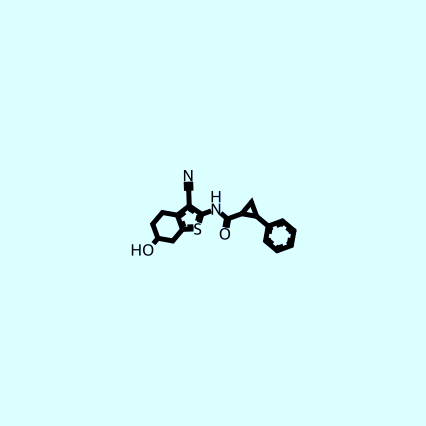 N#Cc1c(NC(=O)C2CC2c2ccccc2)sc2c1CCC(O)C2